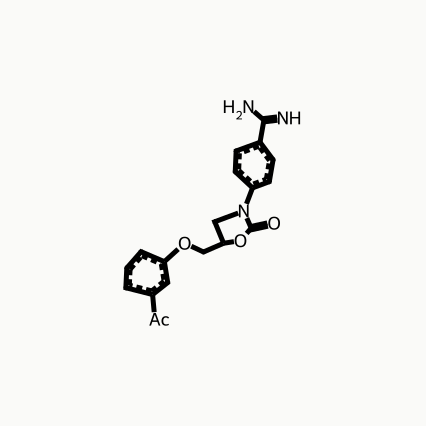 CC(=O)c1cccc(OCC2CN(c3ccc(C(=N)N)cc3)C(=O)O2)c1